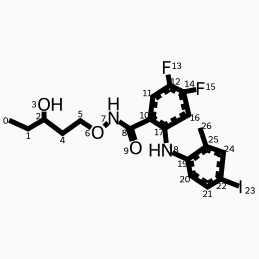 CCC(O)CCONC(=O)c1cc(F)c(F)cc1Nc1ccc(I)cc1C